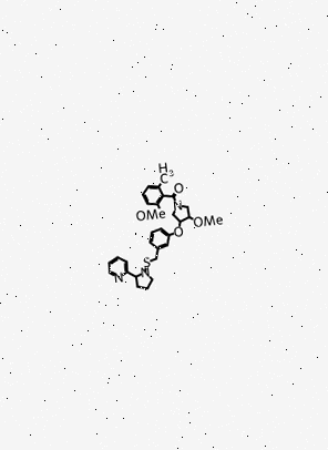 COc1cccc(C)c1C(=O)N1CC(OC)C(Oc2cccc(CSN3CCCC3c3ccccn3)c2)C1